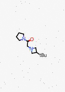 CC(C)(C)C1CN(CC(=O)N2CCCC2)C1